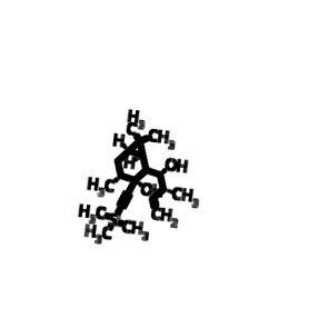 C=C[C@@H](C)[C@@H](O)C1[C@H]2[C@@H](C[C@@H](C)[C@]1(O)C#C[Si](C)(C)C)C2(C)C